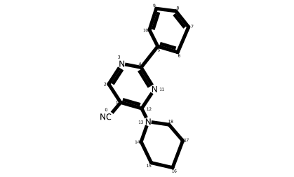 N#Cc1cnc(-c2ccccc2)nc1N1CCCCC1